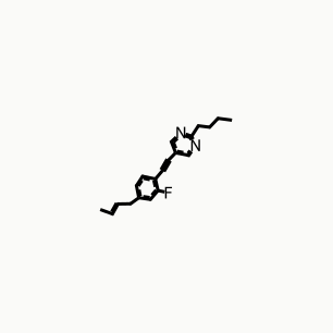 CC=CCc1ccc(C#Cc2cnc(CCCC)nc2)c(F)c1